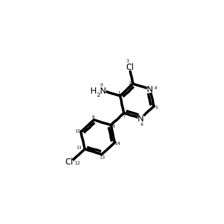 Nc1c(Cl)ncnc1-c1ccc(Cl)cc1